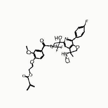 COc1cc(C(=O)NCC(O)(c2cc3c(c(-c4ccc(F)cc4)n2)OCC3(C)NCl)C(F)(F)F)ccc1OCCOC(=O)C(C)C